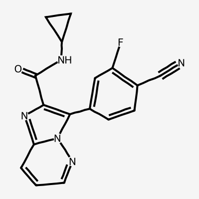 N#Cc1ccc(-c2c(C(=O)NC3CC3)nc3cccnn23)cc1F